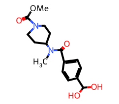 COC(=O)N1CCC(N(C)C(=O)c2ccc(C(O)O)cc2)CC1